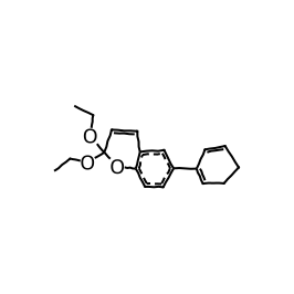 CCOC1(OCC)C=Cc2cc(C3=CCCC=C3)ccc2O1